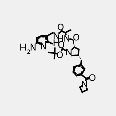 Cc1nc(N)ccc1CNC(=O)C(C)NC(=O)[C@H]1C[C@H](Cc2cccc(C(=O)N3CCC3)c2)CN1C(=O)OC(C)(C)C